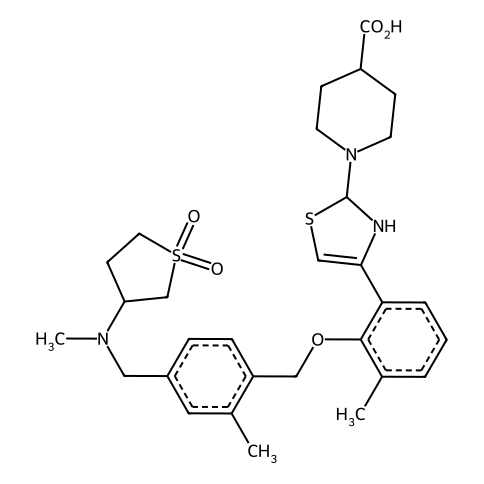 Cc1cc(CN(C)C2CCS(=O)(=O)C2)ccc1COc1c(C)cccc1C1=CSC(N2CCC(C(=O)O)CC2)N1